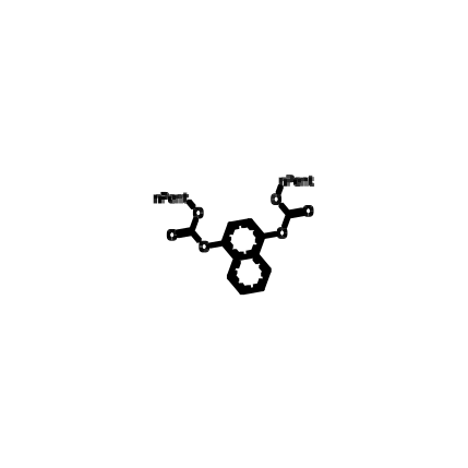 CCCCCOC(=O)Oc1ccc(OC(=O)OCCCCC)c2ccccc12